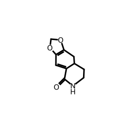 O=C1NCCC2CC3=C(C=C12)OCO3